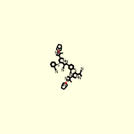 Cc1c(-c2cc(Sc3ccc(-c4nn5cc(-c6cnn(C7C8CCC7CN(C)C8)c6C)cc(Sc6ccccc6C#N)c5c4C#N)cc3C#N)c3c(C#N)cnn3c2)cnn1C1CC2CCC(C1)N2C